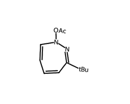 CC(=O)ON1C=CC=CC(C(C)(C)C)=N1